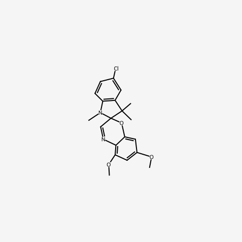 COc1cc(OC)c2c(c1)OC1(C=N2)N(C)c2ccc(Cl)cc2C1(C)C